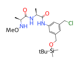 CON[C@@H](C)C(=O)N[C@@H](C)C(=O)Nc1cc(CCl)cc(CO[Si](C)(C)C(C)(C)C)c1